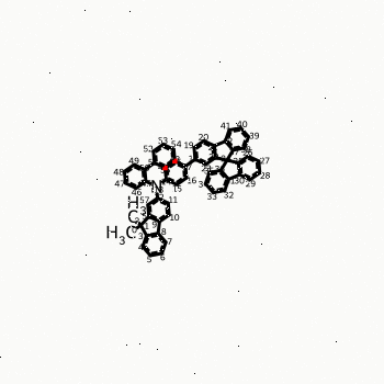 CC1(C)c2ccccc2-c2ccc(N(c3ccc(-c4ccc5c(c4)C4(c6ccccc6-c6ccccc64)c4ccccc4-5)cc3)c3ccccc3-c3ccccc3)cc21